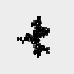 C[C@H](OC(N)=O)c1oc(-c2ccc(OC(F)F)c(OCC3CC3)c2)nc1C(=O)NC(C(=O)NCc1ccc(F)cc1F)c1ccc(F)cc1F